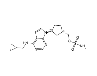 NS(=O)(=O)OC[C@H]1CC[C@H](n2ccc3c(NCC4CC4)ncnc32)C1